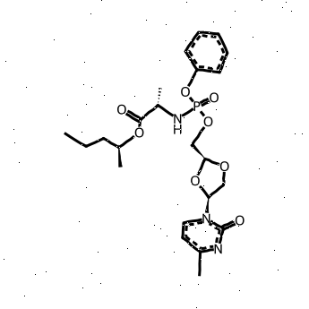 CCC[C@H](C)OC(=O)[C@H](C)NP(=O)(OC[C@H]1OC[C@@H](n2ccc(C)nc2=O)O1)Oc1ccccc1